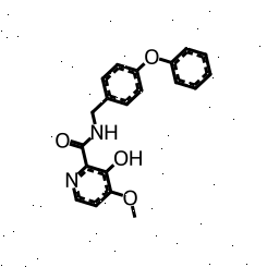 COc1ccnc(C(=O)NCc2ccc(Oc3ccccc3)cc2)c1O